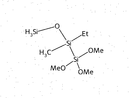 CC[Si](C)(O[SiH3])[Si](OC)(OC)OC